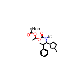 CCCCCCCCCC(=O)OC(C)OC(=O)N(CC)C(C1CCC(C)C1)C(C)c1ccccc1